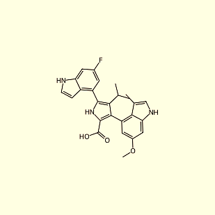 COc1cc(-c2c(C(=O)O)[nH]c(-c3cc(F)cc4[nH]ccc34)c2C(C)C)c2c(C)c[nH]c2c1